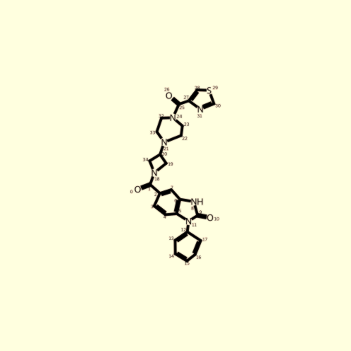 O=C(c1ccc2c(c1)[nH]c(=O)n2-c1ccccc1)N1CC(N2CCN(C(=O)c3cscn3)CC2)C1